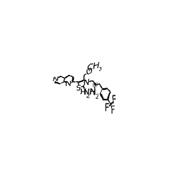 COCC1=C(c2ccc3cnccc3n2)SC(N)N1C[C@H](N)Cc1ccc(C(F)(F)F)cc1